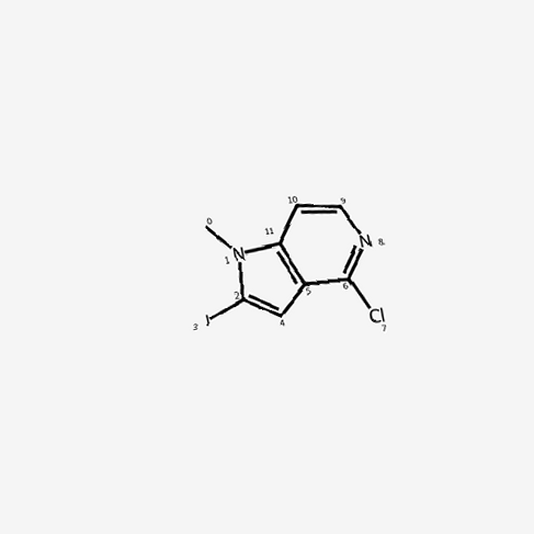 Cn1c(I)cc2c(Cl)nccc21